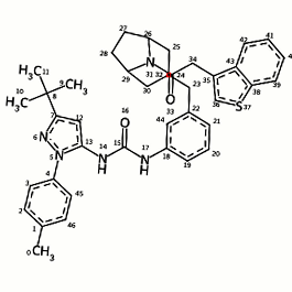 Cc1ccc(-n2nc(C(C)(C)C)cc2NC(=O)Nc2cccc(CC3CC4CCC(C3)N4C(=O)Cc3csc4ccccc34)c2)cc1